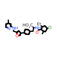 CCc1cc(Cl)cc(C)c1C(=O)NC(Cc1ccc(-c2coc(CNc3cc(C)ccn3)c2)cc1)C(=O)O